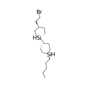 CCCCC[Si@H]1CC[C@H]([Si@H]2CC[C@H](CCBr)CC2)CC1